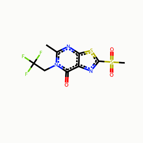 Cc1nc2sc(S(C)(=O)=O)nc2c(=O)n1CC(F)(F)F